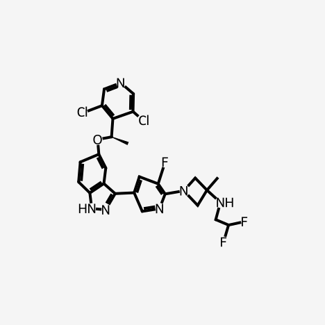 C[C@@H](Oc1ccc2[nH]nc(-c3cnc(N4CC(C)(NCC(F)F)C4)c(F)c3)c2c1)c1c(Cl)cncc1Cl